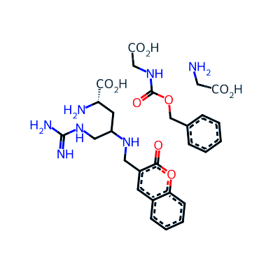 N=C(N)NCC(C[C@H](N)C(=O)O)NCc1cc2ccccc2oc1=O.NCC(=O)O.O=C(O)CNC(=O)OCc1ccccc1